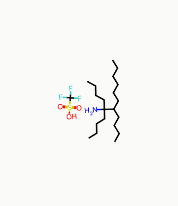 CCCCCCC(CCCC)C(N)(CCCC)CCCC.O=S(=O)(O)C(F)(F)F